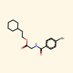 CC(C)(C)c1ccc(C(=O)NCC(=O)OCCC2CCCCC2)cc1